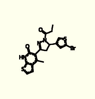 CCC(=O)N1N=C(c2c(C)c3ccsc3[nH]c2=O)CC1c1csc(Br)c1